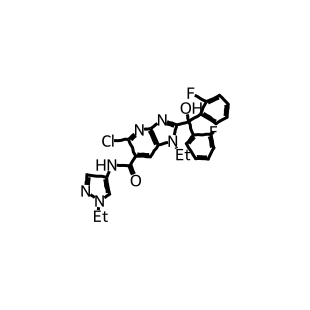 CCn1cc(NC(=O)c2cc3c(nc2Cl)nc(C(O)(c2ccccc2F)c2ccccc2F)n3CC)cn1